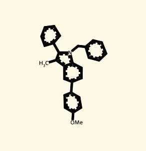 COc1ccc(-c2ccc3c(c2)c(C)c(-c2ccccc2)n3Cc2ccccc2)cc1